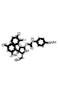 CC(=O)Nc1ccc(NC(=O)O[C@H]2N[C@@H](CC(C)(C)C)[C@](C#N)(c3ccc(Cl)cc3F)[C@H]2c2cccc(Cl)c2F)cc1